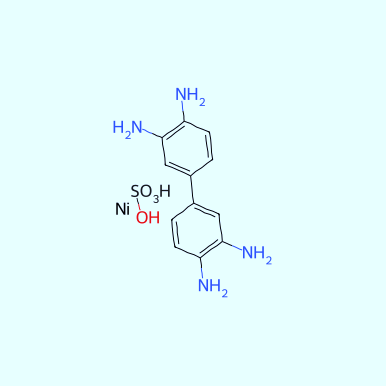 Nc1ccc(-c2ccc(N)c(N)c2)cc1N.O=S(=O)(O)O.[Ni]